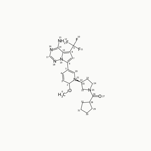 COC1C=CC(c2cc(C(F)(F)F)c3c(N)ncnn23)=CN1[C@H]1CCN(C(=O)C2CCCC2)C1